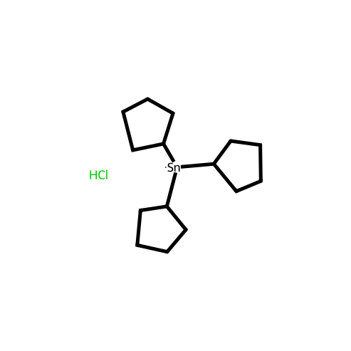 C1CC[CH]([Sn]([CH]2CCCC2)[CH]2CCCC2)C1.Cl